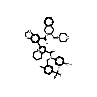 Cc1ccc(C(F)(F)F)cc1CN(C(=O)c1cc(-c2cc3c(cc2C(=O)N2Cc4ccccc4C[C@H]2CN2CCOCC2)OCO3)n2c1CCCC2)c1ccc(O)cc1